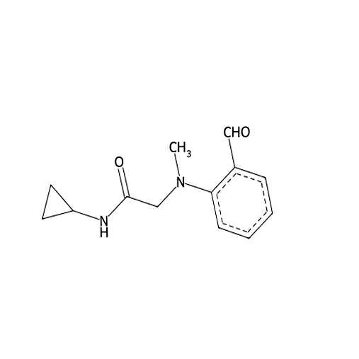 CN(CC(=O)NC1CC1)c1ccccc1C=O